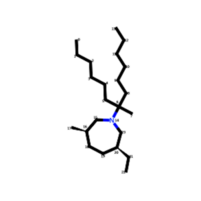 CCCCCCC(C)(CCCCCC)N1C[C@H](C)CC[C@H](CC)C1